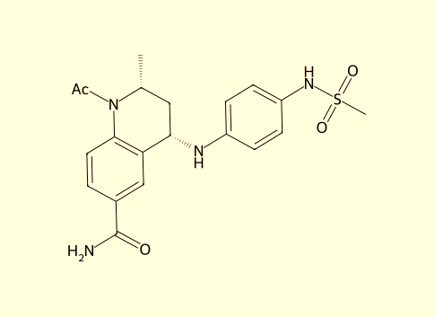 CC(=O)N1c2ccc(C(N)=O)cc2[C@@H](Nc2ccc(NS(C)(=O)=O)cc2)C[C@H]1C